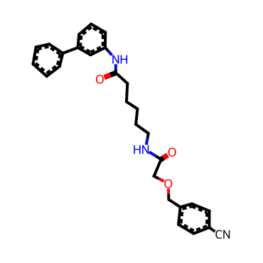 N#Cc1ccc(COCC(=O)NCCCCCC(=O)Nc2cccc(-c3ccccc3)c2)cc1